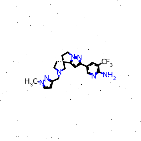 Cn1ccc(CN2CC[C@@]3(CCn4nc(-c5cnc(N)c(C(F)(F)F)c5)cc43)C2)n1